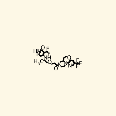 CC(COCCC(=O)N1CCN2c3ncc(C(F)(F)F)cc3OCCC2C1)Nc1cn[nH]c(=O)c1C(F)F